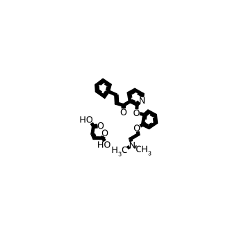 CN(C)CCOc1ccccc1Oc1ncccc1C(=O)/C=C/c1ccccc1.O=C(O)/C=C\C(=O)O